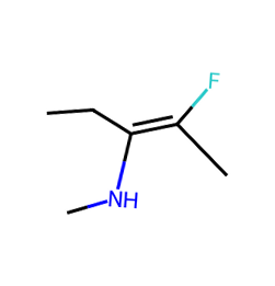 CC/C(NC)=C(/C)F